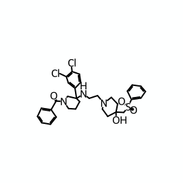 O=C(c1ccccc1)N1CCCC(NCCN2CCC(O)(CS(=O)(=O)c3ccccc3)CC2)(c2ccc(Cl)c(Cl)c2)C1